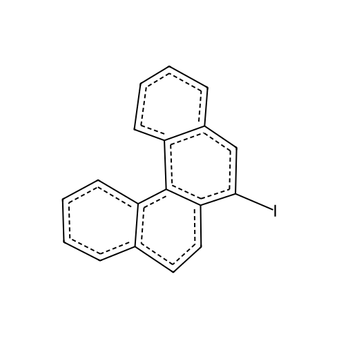 Ic1cc2ccccc2c2c1ccc1ccccc12